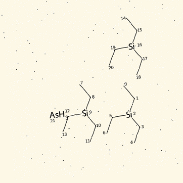 CC[Si](CC)CC.CC[Si](CC)CC.CC[Si](CC)CC.[AsH3]